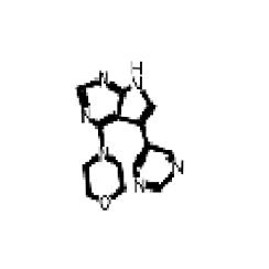 c1ncc(-c2c[nH]c3ncnc(N4CCOCC4)c23)cn1